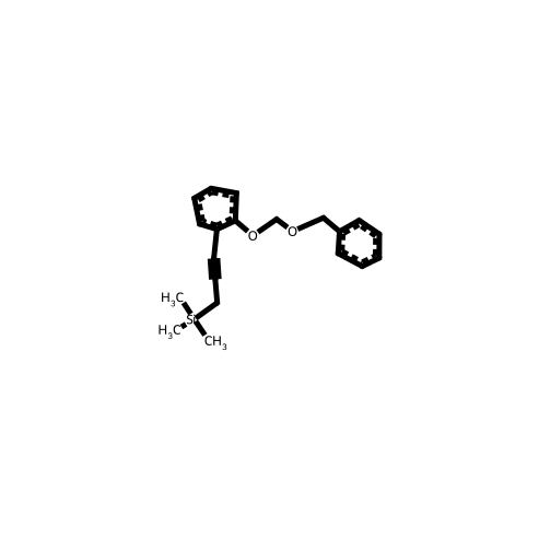 C[Si](C)(C)CC#Cc1ccccc1OCOCc1ccccc1